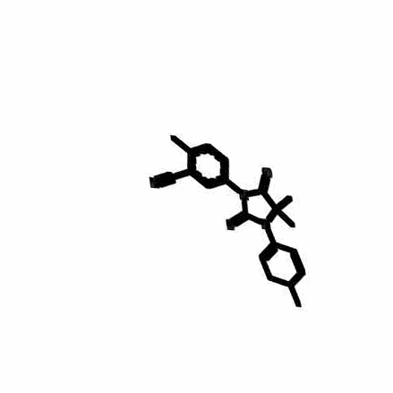 Cc1ccc(N2C(=O)C(C)(C)N(C3=CCC(C)C=C3)C2=S)cc1C#N